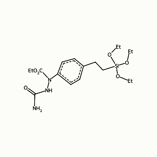 CCOC(=O)N(NC(N)=O)c1ccc(CC[Si](OCC)(OCC)OCC)cc1